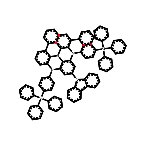 c1ccc(-c2cccc3c2B2c4cccc(-c5ccccc5)c4N(c4ccc([Si](c5ccccc5)(c5ccccc5)c5ccccc5)cc4)c4cc(-n5c6ccccc6c6ccccc65)cc(c42)N3c2ccc([Si](c3ccccc3)(c3ccccc3)c3ccccc3)cc2)cc1